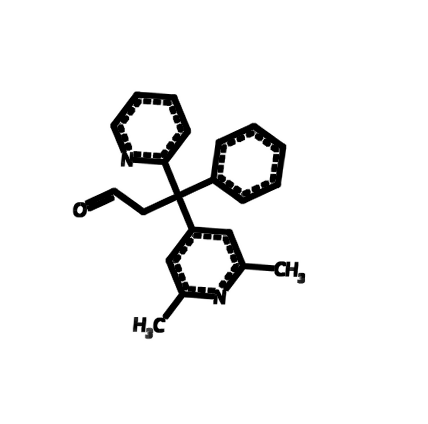 Cc1cc(C(CC=O)(c2ccccc2)c2ccccn2)cc(C)n1